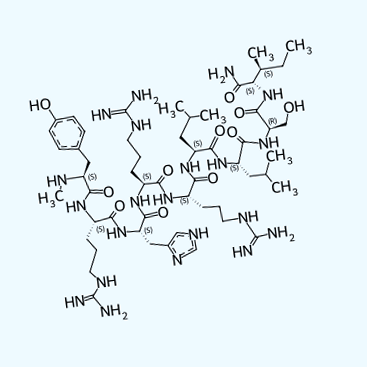 CC[C@H](C)[C@H](NC(=O)[C@@H](CO)NC(=O)[C@H](CC(C)C)NC(=O)[C@H](CC(C)C)NC(=O)[C@H](CCCNC(=N)N)NC(=O)[C@H](CCCNC(=N)N)NC(=O)[C@H](Cc1c[nH]cn1)NC(=O)[C@H](CCCNC(=N)N)NC(=O)[C@H](Cc1ccc(O)cc1)NC)C(N)=O